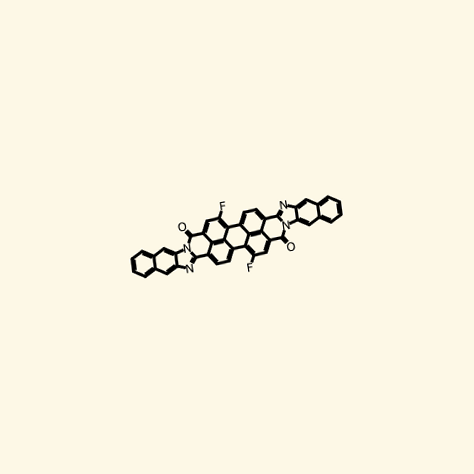 O=c1c2cc(F)c3c4ccc5c6c(cc(F)c(c7ccc(c2c73)c2nc3cc7ccccc7cc3n12)c46)c(=O)n1c2cc3ccccc3cc2nc51